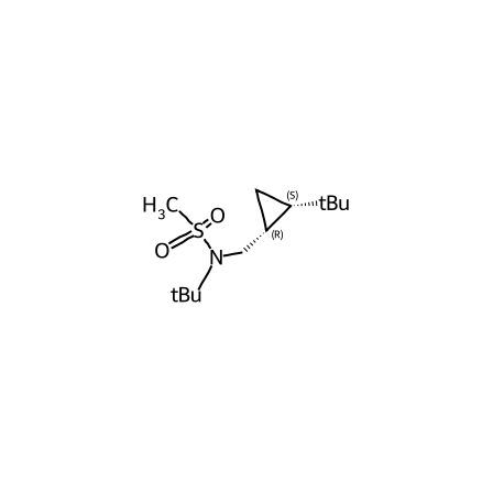 CC(C)(C)[C@H]1C[C@H]1CN(C(C)(C)C)S(C)(=O)=O